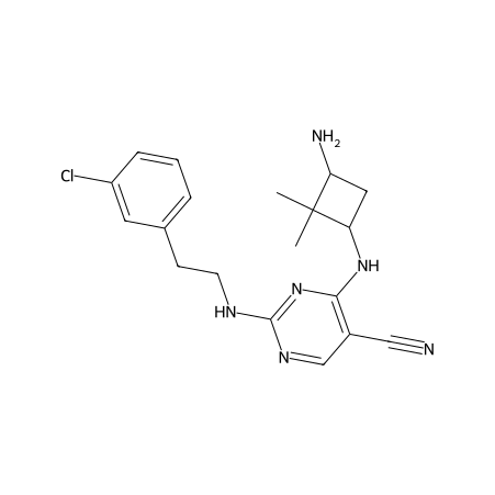 CC1(C)C(N)CC1Nc1nc(NCCc2cccc(Cl)c2)ncc1C#N